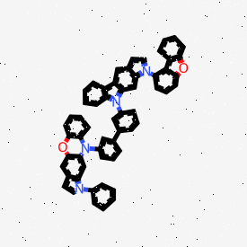 c1ccc(-n2ccc3cc4c(cc32)N(c2cccc(-c3cccc(-n5c6ccccc6c6cc7ccn(-c8cccc9oc%10ccccc%10c89)c7cc65)c3)c2)c2ccccc2O4)cc1